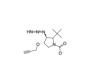 C#CCO[C@H]1CN(C(=O)[O-])C(C(C)(C)C)[C@@H]1N=[N+]=N